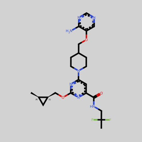 C[C@@H]1C[C@@H]1COc1nc(C(=O)NCC(C)(F)F)cc(N2CCC(COc3cncnc3N)CC2)n1